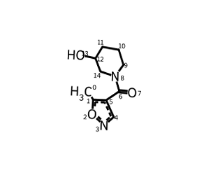 Cc1oncc1C(=O)N1CCCC(O)C1